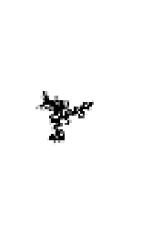 CCOC(=O)OCOC(=O)C1=C(CSc2nnnn2C)CS[C@@H]2N1C(=O)[C@]2(NC(=O)C(C#N)SC)OC